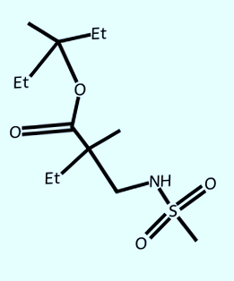 CCC(C)(CC)OC(=O)C(C)(CC)CNS(C)(=O)=O